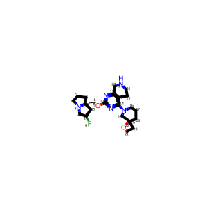 F[C@H]1CN2CCC[C@@]2(COc2nc3c(c(N4CCCC5(CCO5)C4)n2)CCNC3)C1